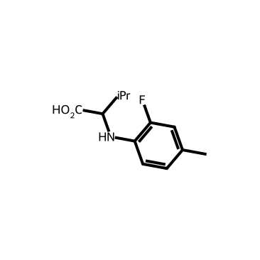 Cc1ccc(NC(C(=O)O)C(C)C)c(F)c1